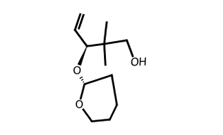 C=C[C@H](O[C@@H]1CCCCO1)C(C)(C)CO